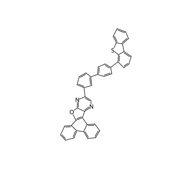 c1cc(-c2ccc(-c3cccc4c3sc3ccccc34)cc2)cc(-c2cnc3c(n2)oc2c4ccccc4c4ccccc4c32)c1